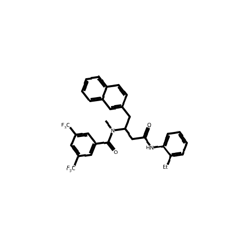 CCc1ccccc1NC(=O)CC(Cc1ccc2ccccc2c1)N(C)C(=O)c1cc(C(F)(F)F)cc(C(F)(F)F)c1